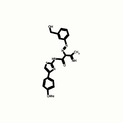 COc1ccc(-c2csc(NC(=O)C(/N=N/c3cccc(CO)c3)C(C)=N)n2)cc1